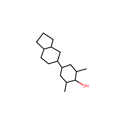 CC1CC(C2CCC3CCCC3C2)CC(C)C1O